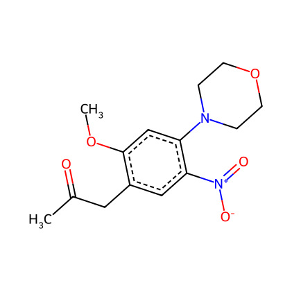 COc1cc(N2CCOCC2)c([N+](=O)[O-])cc1CC(C)=O